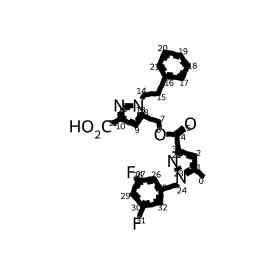 Cc1cc(C(=O)OCc2cc(C(=O)O)nn2CCc2ccccc2)nn1Cc1cc(F)cc(F)c1